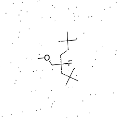 COC[C@](F)(CCC(C)(C)C)CC(C)(C)C